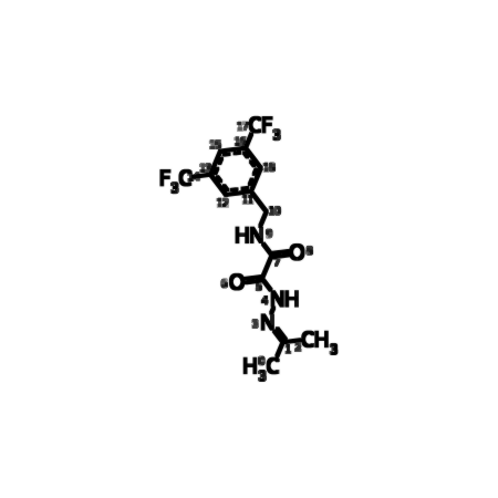 CC(C)=NNC(=O)C(=O)NCc1cc(C(F)(F)F)cc(C(F)(F)F)c1